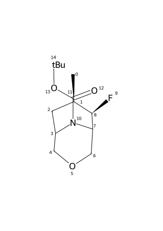 C[C@@H]1CC2COCC([C@@H]1F)N2C(=O)OC(C)(C)C